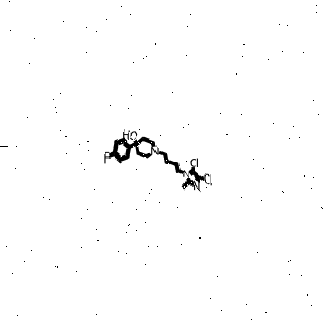 Cc1nc(Cl)c(Cl)n1CCCCN1CCC(O)(c2ccc(F)cc2)CC1